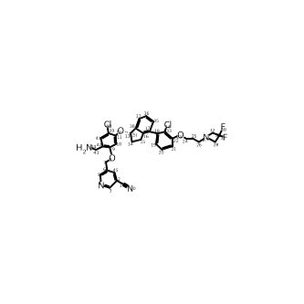 N#Cc1cncc(COc2cc(O[C@H]3CCc4c(-c5cccc(OCCCN6CC(F)(F)C6)c5Cl)cccc43)c(Cl)cc2CN)c1